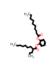 CCCCCCCCCC(=O)Oc1ccccc1OC(=O)C(CCC)CCCCCCC